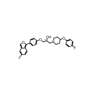 O[C@H](COc1ccc(-c2occ3cc(F)ccc23)cc1)CN1CCC(Oc2ccc(F)cc2)CC1